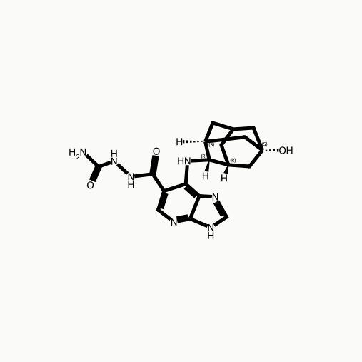 NC(=O)NNC(=O)c1cnc2[nH]cnc2c1N[C@H]1[C@@H]2CC3C[C@H]1C[C@@](O)(C3)C2